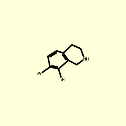 CC(C)c1ccc2c(c1C(C)C)CNCC2